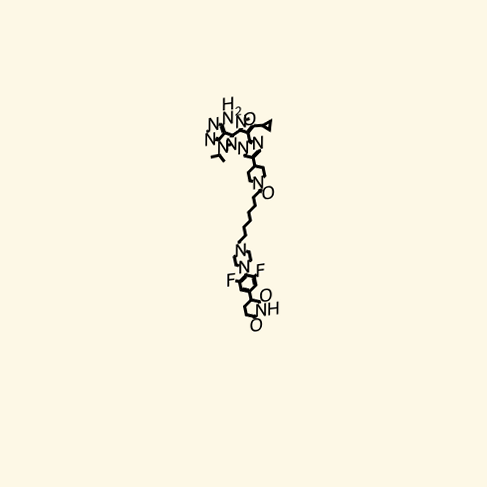 CC(C)n1nc(-c2noc(C3CC3)c2-c2ncc(C3CCN(C(=O)CCCCCCCN4CCN(c5c(F)cc(C6CCC(=O)NC6=O)cc5F)CC4)CC3)cn2)c2c(N)ncnc21